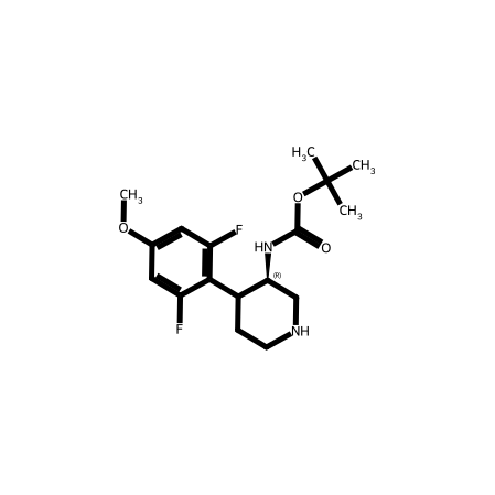 COc1cc(F)c(C2CCNC[C@@H]2NC(=O)OC(C)(C)C)c(F)c1